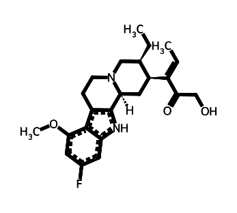 C/C=C(/C(=O)CO)[C@H]1C[C@H]2c3[nH]c4cc(F)cc(OC)c4c3CCN2C[C@H]1CC